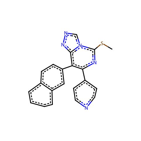 CSc1nc(-c2ccncc2)c(-c2ccc3ccccc3c2)c2nncn12